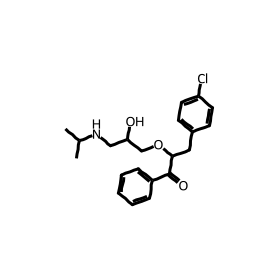 CC(C)NCC(O)COC(Cc1ccc(Cl)cc1)C(=O)c1ccccc1